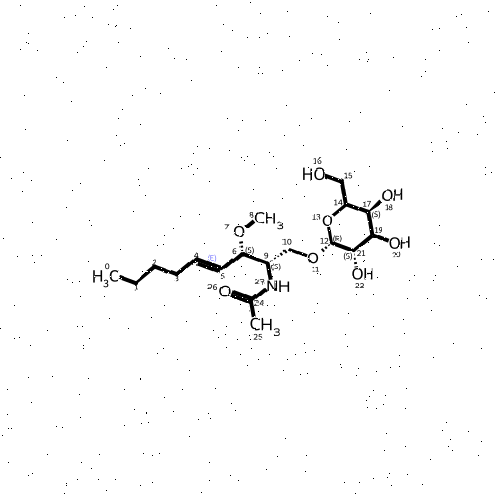 CCCC/C=C/[C@H](OC)[C@H](CO[C@@H]1OC(CO)[C@@H](O)C(O)[C@@H]1O)NC(C)=O